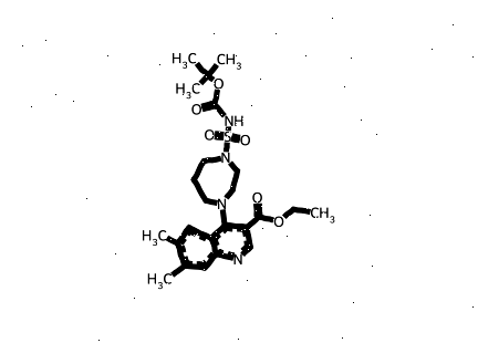 CCOC(=O)c1cnc2cc(C)c(C)cc2c1N1CCCN(S(=O)(=O)NC(=O)OC(C)(C)C)CC1